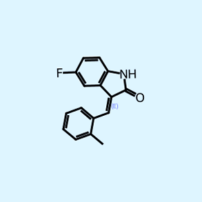 Cc1ccccc1/C=C1/C(=O)Nc2ccc(F)cc21